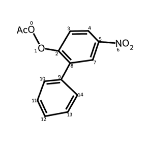 CC(=O)OOc1ccc([N+](=O)[O-])cc1-c1ccccc1